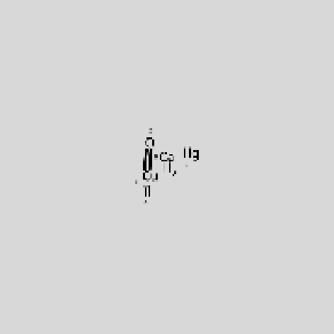 [CaH2].[Hg].[O]=[Cu].[Tl]